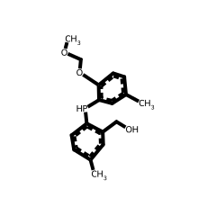 COCOc1ccc(C)cc1Pc1ccc(C)cc1CO